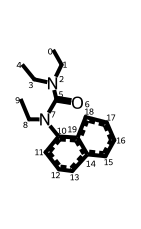 CCN(CC)C(=O)N(CC)c1cccc2ccccc12